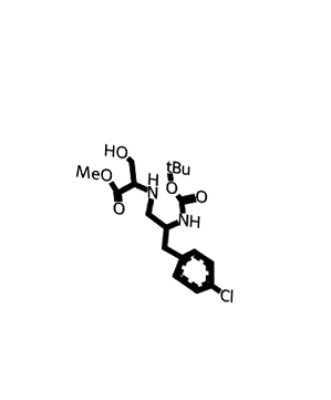 COC(=O)C(CO)NCC(Cc1ccc(Cl)cc1)NC(=O)OC(C)(C)C